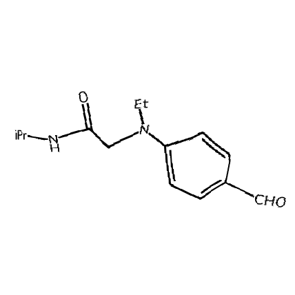 CCN(CC(=O)NC(C)C)c1ccc(C=O)cc1